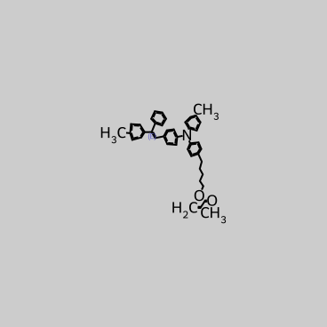 C=C(C)C(=O)OCCCCCc1ccc(N(c2ccc(C)cc2)c2ccc(/C=C(\c3ccccc3)c3ccc(C)cc3)cc2)cc1